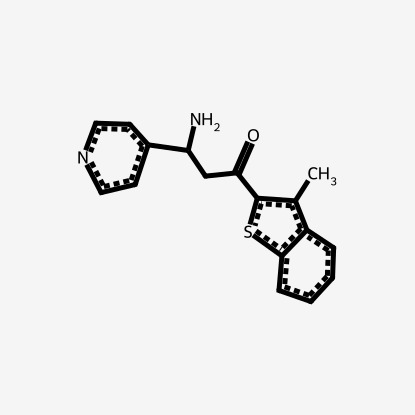 Cc1c(C(=O)CC(N)c2ccncc2)sc2ccccc12